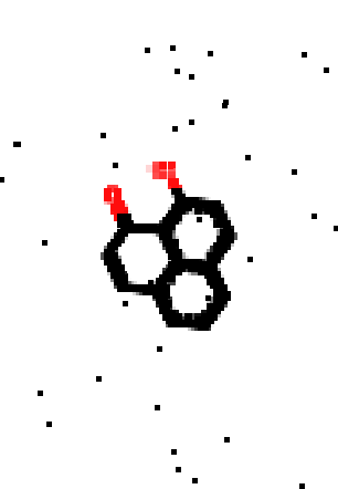 O=C1C=Cc2cccc3ccc(O)c1c23